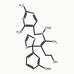 COc1cccc(C2(/C(CCO)=C(/C)N(C=O)Cc3cnc(C)nc3N)SC=CS2)c1